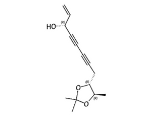 C=C[C@@H](O)C#CC#CC[C@H]1OC(C)(C)O[C@@H]1C